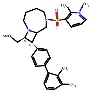 COC[C@@H]1[C@@H](c2ccc(-c3cccc(C)c3C)cc2)C2CN(S(=O)(=O)c3ccc[n+](C)c3C)CCCCN21